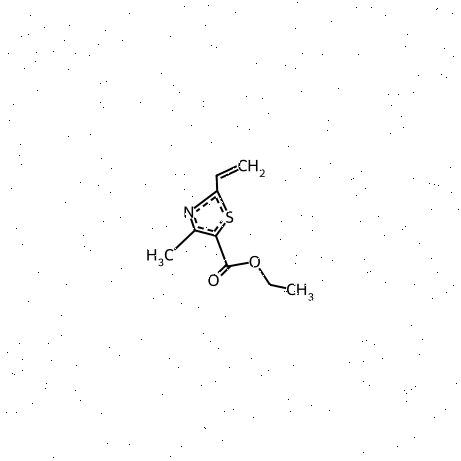 C=Cc1nc(C)c(C(=O)OCC)s1